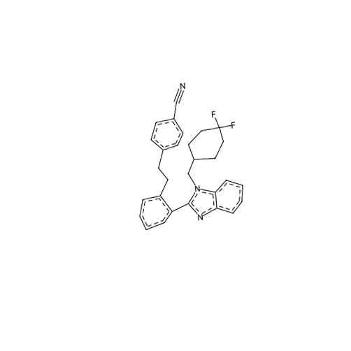 N#Cc1ccc(CCc2ccccc2-c2nc3ccccc3n2CC2CCC(F)(F)CC2)cc1